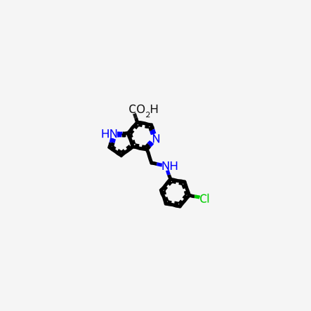 O=C(O)c1cnc(CNc2cccc(Cl)c2)c2cc[nH]c12